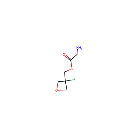 NCC(=O)OCC1(F)COC1